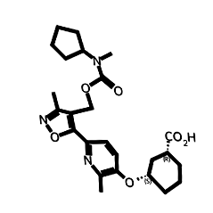 Cc1nc(-c2onc(C)c2COC(=O)N(C)C2CCCC2)ccc1O[C@H]1CCC[C@@H](C(=O)O)C1